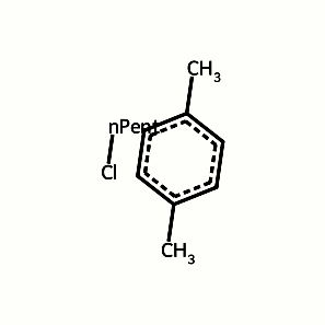 CCCCCCl.Cc1ccc(C)cc1